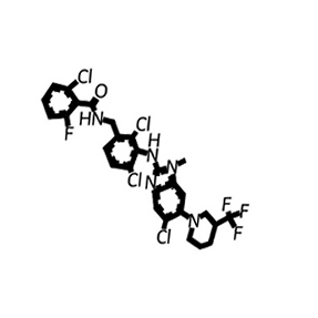 Cn1c(Nc2c(Cl)ccc(CNC(=O)c3c(F)cccc3Cl)c2Cl)nc2cc(Cl)c(N3CCCC(C(F)(F)F)C3)cc21